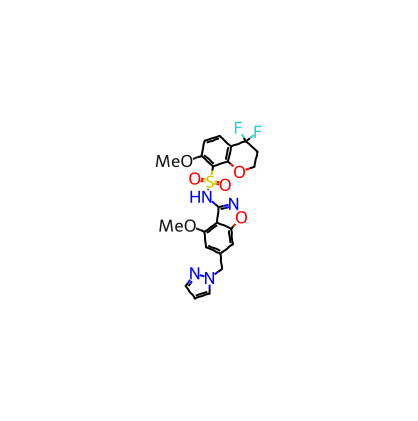 COc1ccc2c(c1S(=O)(=O)Nc1noc3cc(Cn4cccn4)cc(OC)c13)OCCC2(F)F